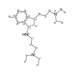 CCN(CC)CCCNC1CC(CCCN(CC)CC)c2ccc(C)cc21